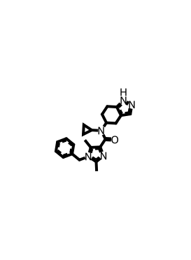 Cc1nc(C(=O)N(C2CC2)C2CCc3[nH]ncc3C2)c(C)n1Cc1ccccc1